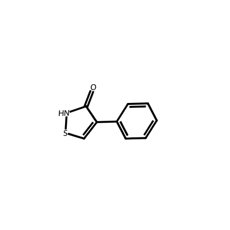 O=c1[nH]scc1-c1ccccc1